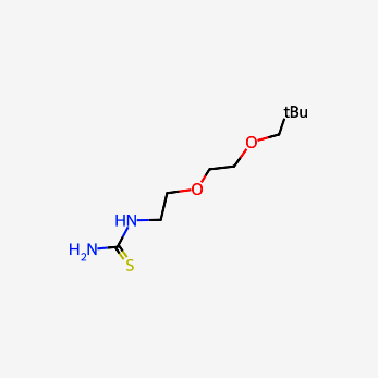 CC(C)(C)COCCOCCNC(N)=S